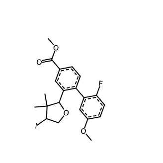 COC(=O)c1ccc(-c2cc(OC)ccc2F)c(C2OCC(I)C2(C)C)c1